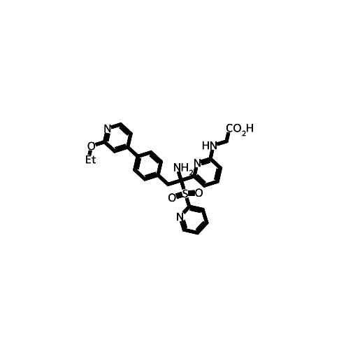 CCOc1cc(-c2ccc(CC(N)(c3cccc(NCC(=O)O)n3)S(=O)(=O)c3ccccn3)cc2)ccn1